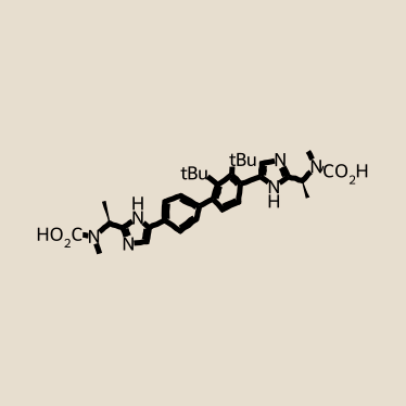 C[C@@H](c1ncc(-c2ccc(-c3ccc(-c4cnc([C@H](C)N(C)C(=O)O)[nH]4)c(C(C)(C)C)c3C(C)(C)C)cc2)[nH]1)N(C)C(=O)O